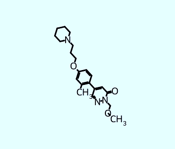 COCn1ncc(-c2ccc(OCCCN3CCCCC3)cc2C)cc1=O